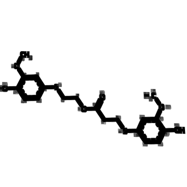 COc1cc(SCCOC(=O)CCSc2ccc(O)c(OC)c2)ccc1O